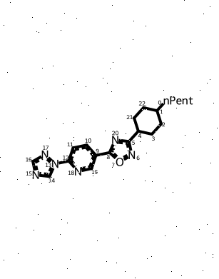 CCCCCC1CCC(c2noc(-c3ccc(-n4cncn4)nc3)n2)CC1